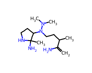 C=C(N)C(C)CCN(C1CCNC1(C)N)N(C)C